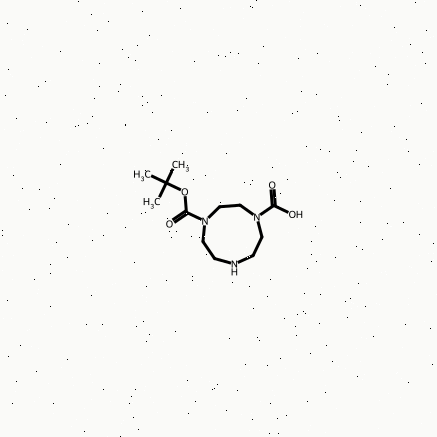 CC(C)(C)OC(=O)N1CCNCCN(C(=O)O)CC1